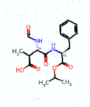 CC(C)OC(=O)[C@H](Cc1ccccc1)NC(=O)[C@@H](NC=O)C(C)C(=O)O